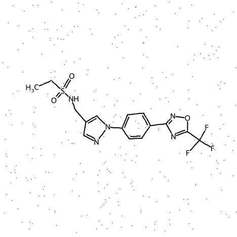 CCS(=O)(=O)NCc1cnn(-c2ccc(-c3noc(C(F)(F)F)n3)cc2)c1